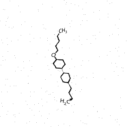 C=CCC[C@H]1CC[C@H](C2CCC(OCCCCC)CC2)CC1